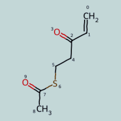 C=CC(=O)CCSC(C)=O